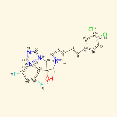 OC(Cn1ccc(/C=C/c2ccc(Cl)c(Cl)c2)c1)(Cn1cncn1)c1ccc(F)cc1F